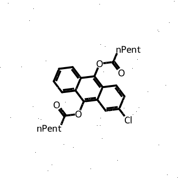 CCCCCC(=O)Oc1c2ccccc2c(OC(=O)CCCCC)c2cc(Cl)ccc12